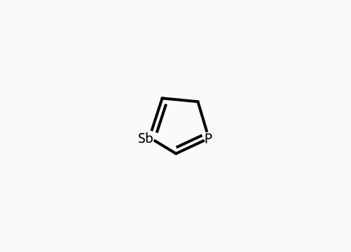 [CH]1=PC[CH]=[Sb]1